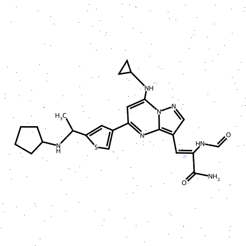 CC(NC1CCCC1)c1cc(-c2cc(NC3CC3)n3ncc(/C=C(\NC=O)C(N)=O)c3n2)cs1